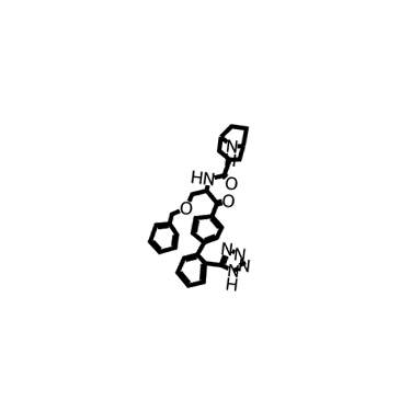 O=C(NC(COCc1ccccc1)C(=O)c1ccc(-c2ccccc2-c2nnn[nH]2)cc1)C1CC2CCC(C1)N2